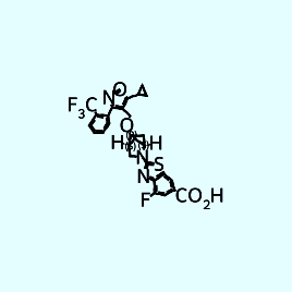 O=C(O)c1cc(F)c2nc(N3C[C@@H]4C[C@H]3C[C@H]4OCc3c(-c4ccccc4C(F)(F)F)noc3C3CC3)sc2c1